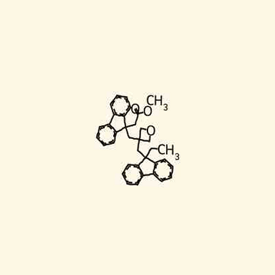 CCC1(CC2(CC3(CC(=O)OC)c4ccccc4-c4ccccc43)COC2)c2ccccc2-c2ccccc21